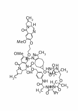 C=C1CC2C(O)N(C(=O)OCc3ccc(NC(=O)C(C)NC(=O)[C@@H](NC(=O)C(C)(C)OCCC(C)(C)NS(=O)(=O)NC(=O)OC4C5CCc6c(C)nn(C(C)C)c6CCC54)C(C)C)cc3)c3cc(OCCCOc4cc5c(cc4OC)C(=O)N4CC(=C)C[C@H]4C=N5)c(OC)cc3C(=O)N2C1